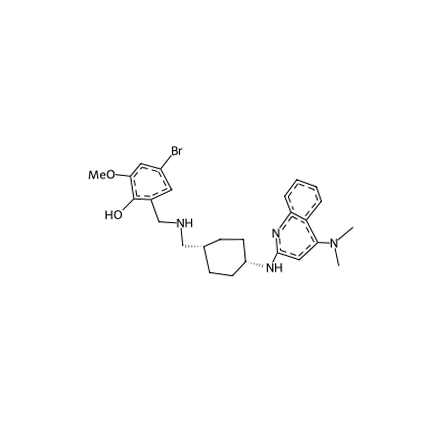 COc1cc(Br)cc(CNC[C@H]2CC[C@@H](Nc3cc(N(C)C)c4ccccc4n3)CC2)c1O